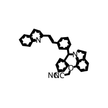 N#CCOc1cccc2ccn(C(c3ccc(C#N)cc3)c3cccc(C=Cc4ccc5ccccc5n4)c3)c12